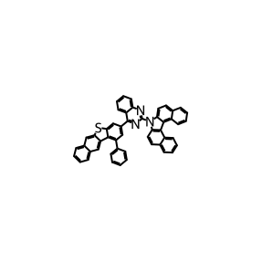 c1ccc(-c2cc(-c3nc(-n4c5ccc6ccccc6c5c5c6ccccc6ccc54)nc4ccccc34)cc3sc4cc5ccccc5cc4c23)cc1